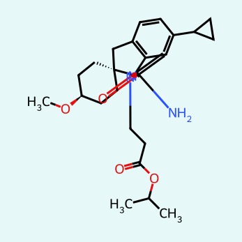 CO[C@H]1CC[C@]2(CC1)Cc1ccc(C3CC3)cc1C21N=C(N)N(CCC(=O)OC(C)C)C1=O